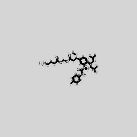 CC[C@@H](CC(=O)OCOC(=O)CCCN)c1ccc(N(CC(C)C)CC(C)C)c(NC(=O)Nc2ccc(C)cc2)c1